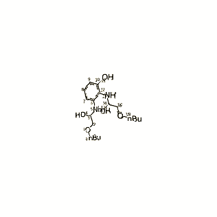 CCCCOCC(O)Nc1cccc(O)c1NC(O)COCCCC